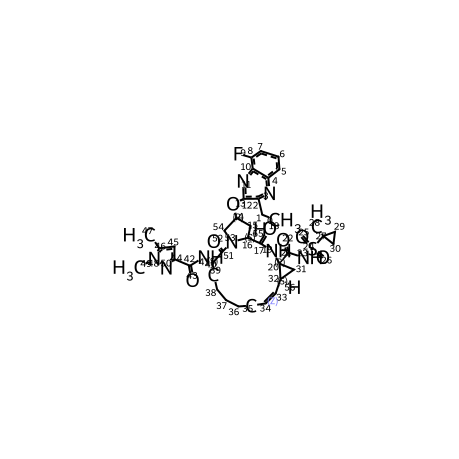 CCc1nc2cccc(F)c2nc1O[C@@H]1C[C@H]2C(=O)N[C@]3(C(=O)NS(=O)(=O)C4(C)CC4)C[C@H]3/C=C\CCCCC[C@H](NC(=O)c3cc(C)n(C)n3)C(=O)N2C1